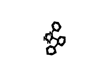 c1ccc(-c2ccccc2-c2nncn2-c2ccccc2)cc1